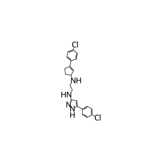 Clc1ccc(C2=CC(NCCNc3cc(-c4ccc(Cl)cc4)[nH]n3)CC2)cc1